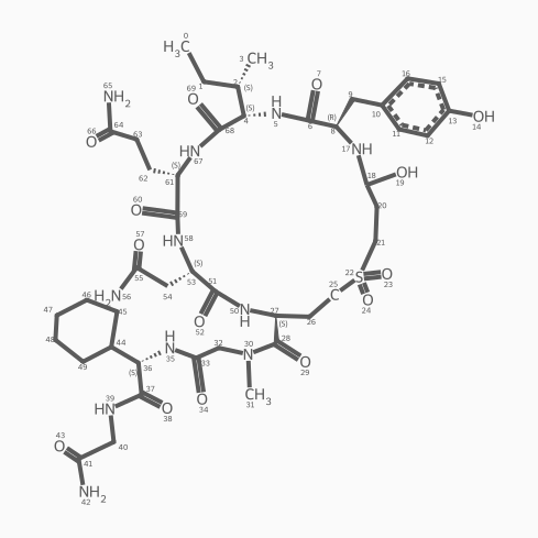 CC[C@H](C)[C@@H]1NC(=O)[C@@H](Cc2ccc(O)cc2)NC(O)CCS(=O)(=O)CC[C@@H](C(=O)N(C)CC(=O)N[C@H](C(=O)NCC(N)=O)C2CCCCC2)NC(=O)[C@H](CC(N)=O)NC(=O)[C@H](CCC(N)=O)NC1=O